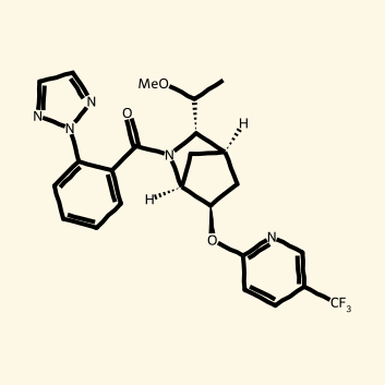 COC(C)[C@@H]1[C@H]2C[C@@H](Oc3ccc(C(F)(F)F)cn3)[C@H](C2)N1C(=O)c1ccccc1-n1nccn1